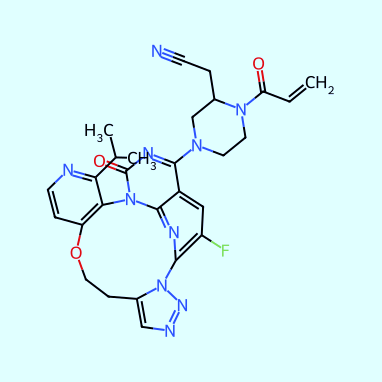 C=CC(=O)N1CCN(c2nc(=O)n3c4nc(c(F)cc24)-n2nncc2CCOc2ccnc(C(C)C)c2-3)CC1CC#N